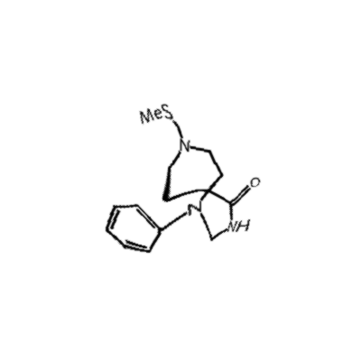 CSN1CCC2(CC1)C(=O)NCN2c1ccccc1